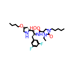 CCCCCN1CC(C(=O)N[C@@H](Cc2cc(F)cc(F)c2)[C@H](O)[C@H]2C[C@@H](OCCCC)CN2)N(CC)C1=O